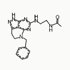 CC(=O)NCCNc1nc2c3c(n[nH]c3n1)CCN2Cc1ccccc1